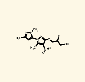 Cc1cc(-n2nc(OCC(F)CO)c([N+](=O)[O-])c2C)n(C)n1